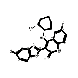 N[C@@H]1CCCC[C@H]1Nc1c(-c2nc3cc(Cl)ccc3[nH]2)c(=O)[nH]c2ccc(Cl)cc12